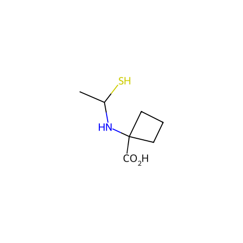 CC(S)NC1(C(=O)O)CCC1